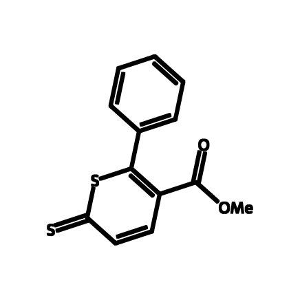 COC(=O)c1ccc(=S)sc1-c1ccccc1